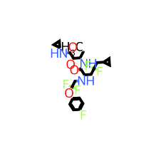 CCC(NC(=O)C(CC(F)(F)CC1CC1)NCC(F)(F)Oc1ccc(F)cc1)C(=O)C(=O)NC1CC1